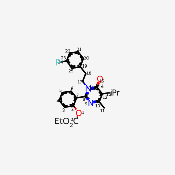 CCOC(=O)Oc1ccccc1-c1nc(C)c(C(C)C)c(=O)n1CCc1cccc(F)c1